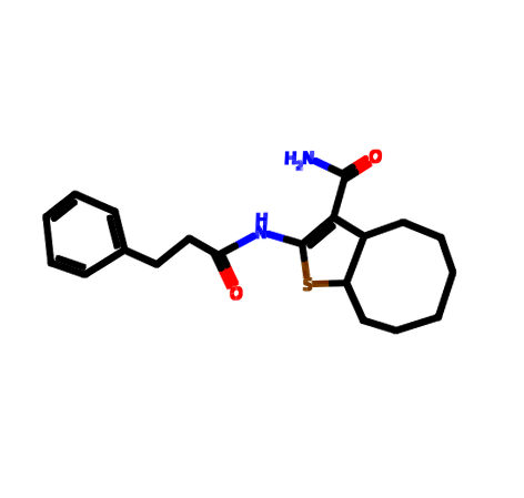 NC(=O)C1=C(NC(=O)CCc2ccccc2)SC2CCCCCCC12